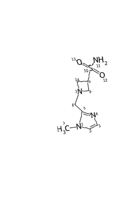 Cn1ccnc1CN1CC(S(N)(=O)=O)C1